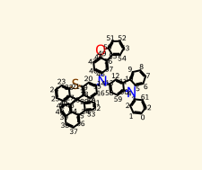 c1ccc(-n2c3ccccc3c3cc(N(c4ccc5c(c4)Sc4ccccc4C54c5ccccc5-c5cccc6cccc4c56)c4ccc5oc6ccccc6c5c4)ccc32)cc1